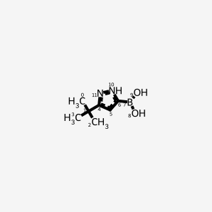 CC(C)(C)c1cc(B(O)O)[nH]n1